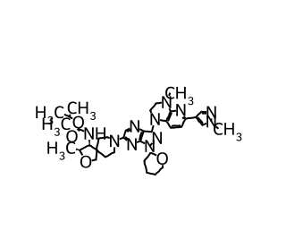 C[C@@H]1OCC2(CCN(c3cnc4c(N5CCN(C)c6nc(-c7cnn(C)c7)ccc65)nn(C5CCCCO5)c4n3)CC2)[C@@H]1NC(=O)OC(C)(C)C